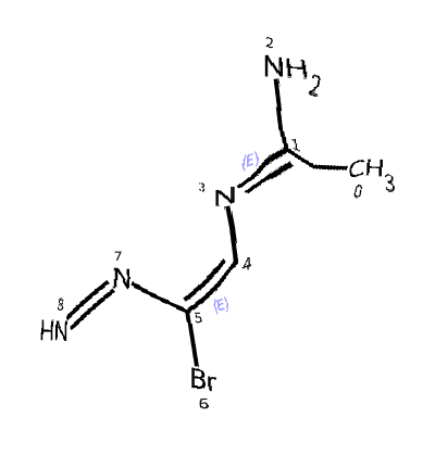 C/C(N)=N\C=C(\Br)N=N